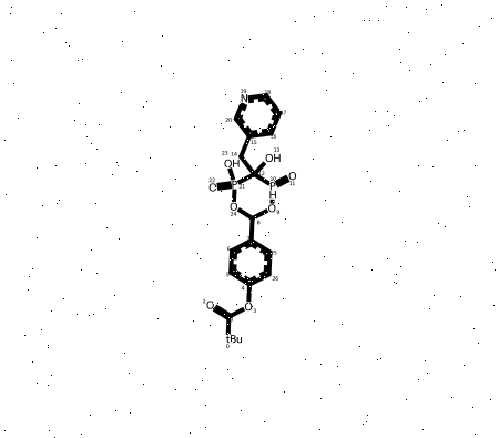 CC(C)(C)C(=O)Oc1ccc(C2O[PH](=O)C(O)(Cc3cccnc3)P(=O)(O)O2)cc1